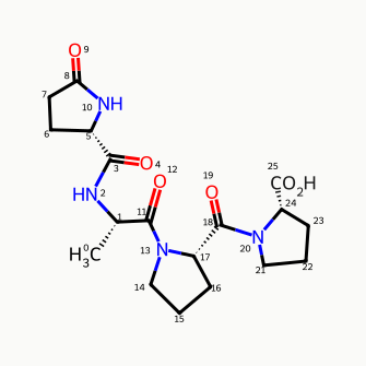 C[C@H](NC(=O)[C@@H]1CCC(=O)N1)C(=O)N1CCC[C@H]1C(=O)N1CCC[C@H]1C(=O)O